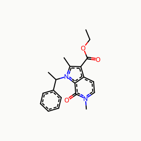 CCOC(=O)c1c(C)n(C(C)c2ccccc2)c2c(=O)n(C)ccc12